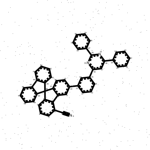 N#Cc1cccc2c1-c1cc(-c3cccc(-c4cc(-c5ccccc5)nc(-c5ccccc5)n4)c3)ccc1C21c2ccccc2-c2ccccc21